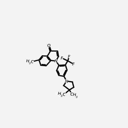 Cc1ccc2c(c1)c(=O)ccn2-c1ccc(N2CCC(C)(C)C2)cc1C(F)(F)F